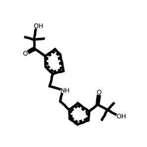 CC(C)(O)C(=O)c1cccc(CNCc2cccc(C(=O)C(C)(C)O)c2)c1